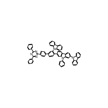 c1ccc(-c2nc(-c3ccccc3)nc(-c3ccc(-c4ccc(-c5ccc6c7ccc(-n8c9ccccc9c9ccccc98)cc7n(-c7ccccc7)c6c5)c(-n5c6ccccc6c6ccccc65)c4)cc3)n2)cc1